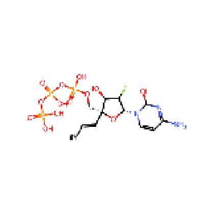 CC(C)/C=C/[C@]1(COP(=O)(O)OP(=O)(O)OP(=O)(O)O)O[C@@H](N2C=CC(N)=NC2O)[C@H](F)[C@@H]1O